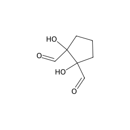 O=CC1(O)CCCC1(O)C=O